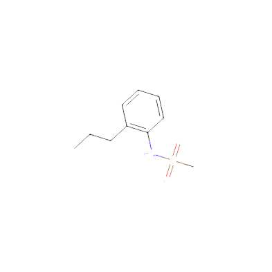 CCCc1[c]cccc1NS(C)(=O)=O